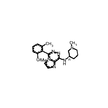 COc1cccc(C)c1-c1nnc(N[C@@H]2CCCN(C)C2)c2nccn12